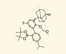 COCOc1c(-c2ccc(C(C)C)cc2B2OC(C)(C)C(C)(C)O2)cc(F)cc1[C@@]12C[C@@H]3C[C@@](C)(C[C@@](C)(C3)C1)C2